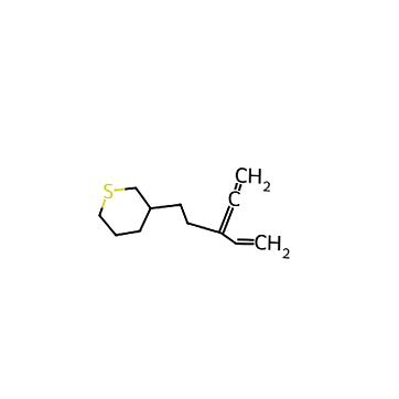 C=C=C(C=C)CCC1CCCSC1